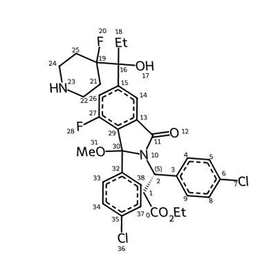 CCOC(=O)C[C@@H](c1ccc(Cl)cc1)N1C(=O)c2cc(C(O)(CC)C3(F)CCNCC3)cc(F)c2C1(OC)c1ccc(Cl)cc1